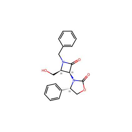 O=C1[C@@H](N2C(=O)OC[C@@H]2c2ccccc2)[C@@H](CO)N1Cc1ccccc1